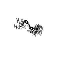 CC(=CC=CC(C)(C)O)c1cccc(COc2ccc(C(O[SiH](C)C)C(C)(C)C)c(C(O[SiH](C)C)C(C)(C)C)c2)c1